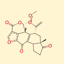 C=C(OC)[C@@H]1C[C@]2(C)C(=O)CCC2C2=C1[C@]1(C)c3c(coc3C2=O)C(=O)O[C@@H]1COC